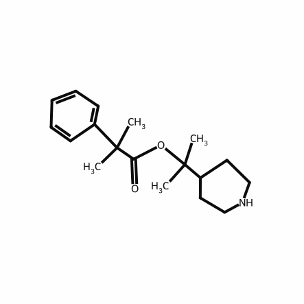 CC(C)(C(=O)OC(C)(C)C1CCNCC1)c1ccccc1